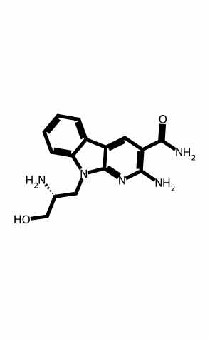 NC(=O)c1cc2c3ccccc3n(C[C@@H](N)CO)c2nc1N